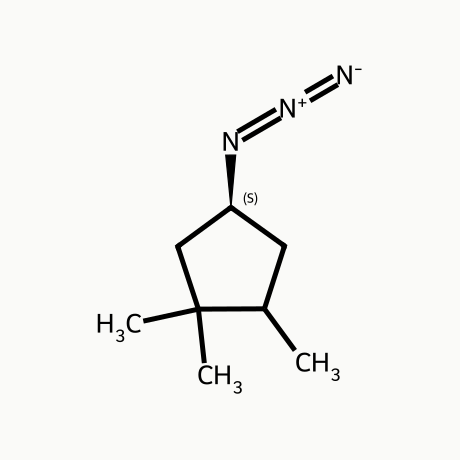 CC1C[C@H](N=[N+]=[N-])CC1(C)C